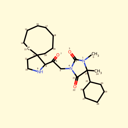 CN1C(=O)N(CC(=O)C2NCCC23CCCCCCCC3)C(=O)C1(C)C1CCCCC1